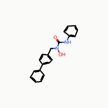 O=C(Nc1ccccc1)N(O)Cc1ccc(-c2ccccc2)cc1